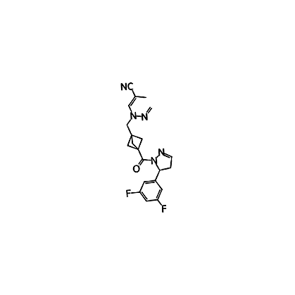 C=NN(/C=C(\C)C#N)CC12CC(C(=O)N3N=CCC3c3cc(F)cc(F)c3)(C1)C2